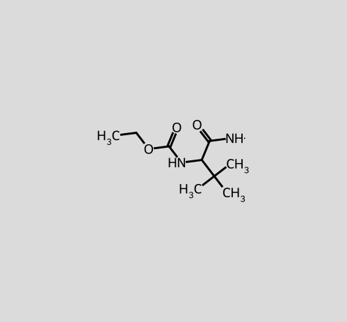 CCOC(=O)NC(C([NH])=O)C(C)(C)C